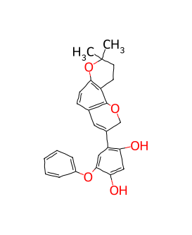 CC1(C)CCc2c(ccc3c2OCC(c2cc(Oc4ccccc4)c(O)cc2O)=C3)O1